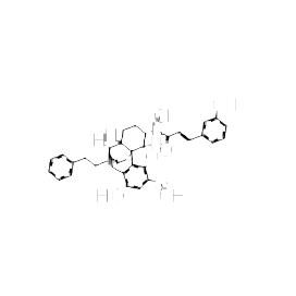 COc1cc(O)c2c3c1O[C@H]1[C@H](N(C)C(=O)C=Cc4cccc(C)c4)CC[C@H]4[C@@H](C2)N(CCc2ccccc2)CC[C@@]341